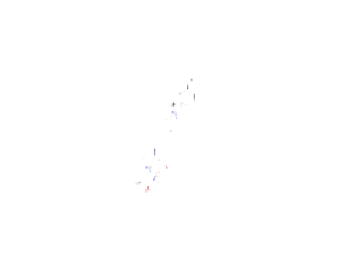 CC(C)COc1cccc([C@@H](C)NCCCC/C=C/CN2CCC(=O)NC2=O)c1